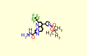 CC(C)(C)OC(=O)N1CCC(c2cc(C(F)(F)C(F)(F)F)nc3c2ccc2nc(C(=O)NN)cn23)C1